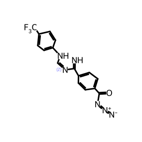 [N-]=[N+]=NC(=O)c1ccc(C(=N)/N=C\Nc2ccc(C(F)(F)F)cc2)cc1